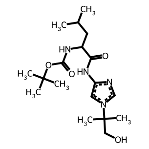 CC(C)CC(NC(=O)OC(C)(C)C)C(=O)Nc1cn(C(C)(C)CO)cn1